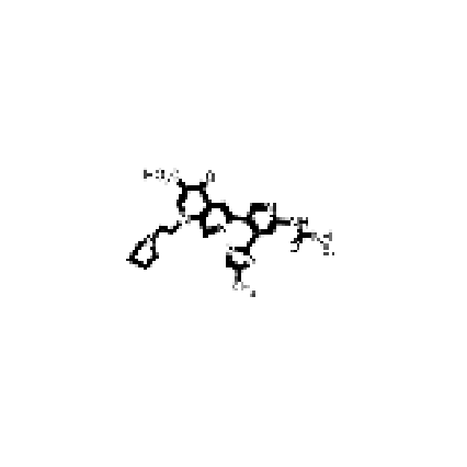 CCNC(=O)Nc1cc(-c2nc(C(F)(F)F)cs2)c(-c2cc3c(=O)c(C(=O)O)cn(CCN4CCCC4)c3cn2)cn1